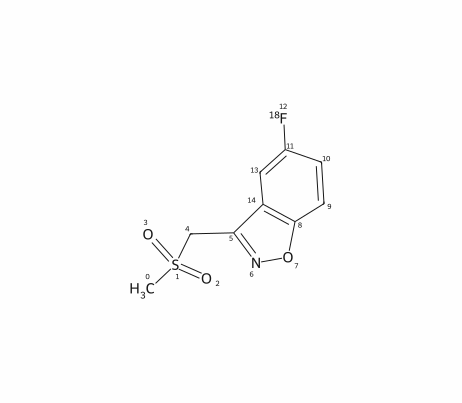 CS(=O)(=O)Cc1noc2ccc([18F])cc12